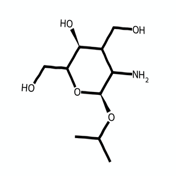 CC(C)O[C@H]1OC(CO)[C@@H](O)C(CO)C1N